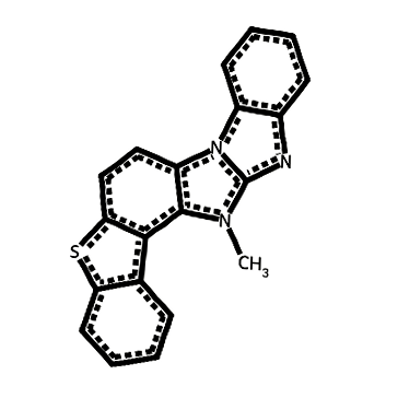 Cn1c2c3c(ccc2n2c4ccccc4nc12)sc1ccccc13